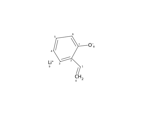 C=Cc1ccccc1[O-].[Li+]